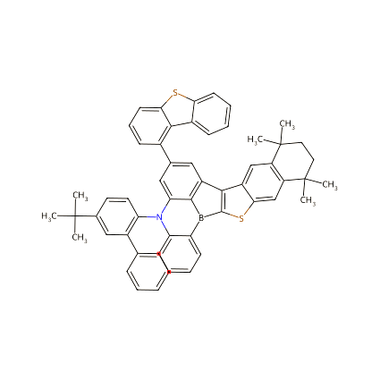 CC(C)(C)c1ccc(N2c3ccccc3B3c4sc5cc6c(cc5c4-c4cc(-c5cccc7sc8ccccc8c57)cc2c43)C(C)(C)CCC6(C)C)c(-c2ccccc2)c1